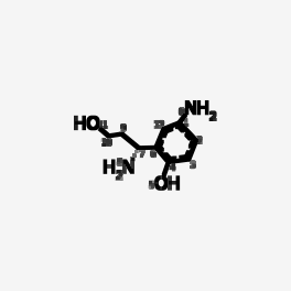 Nc1ccc(O)c([C@H](N)CCO)c1